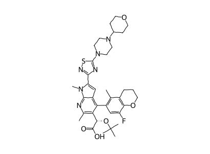 Cc1nc2c(cc(-c3nsc(N4CCN(C5CCOCC5)CC4)n3)n2C)c(-c2cc(F)c3c(c2C)CCCO3)c1[C@H](OC(C)(C)C)C(=O)O